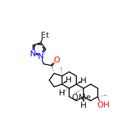 CCc1cnn(CC(=O)[C@H]2CC[C@H]3[C@@H]4CC[C@H]5C[C@](C)(O)CC[C@]5(COC)[C@H]4CC[C@]23C)c1